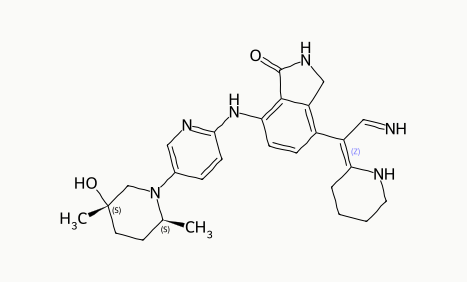 C[C@H]1CC[C@](C)(O)CN1c1ccc(Nc2ccc(/C(C=N)=C3\CCCCN3)c3c2C(=O)NC3)nc1